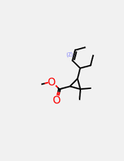 C/C=C\C(CC)C1C(C(=O)OC)C1(C)C